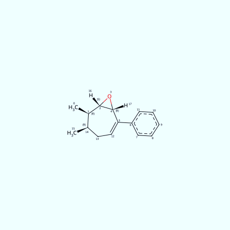 C[C@H]1[C@@H]2O[C@@H]2C(c2ccccc2)=CC[C@H]1C